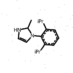 CC(C)c1cccc(C(C)C)c1N1C=CNC1C